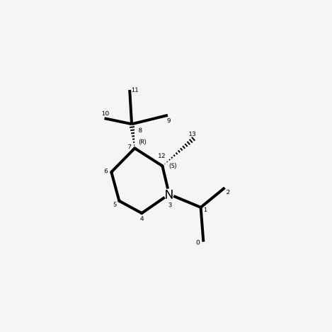 CC(C)N1CCC[C@H](C(C)(C)C)[C@@H]1C